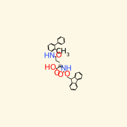 Cc1c(NC(=O)CC[C@H](NC(=O)OCC2c3ccccc3-c3ccccc32)C(=O)O)cccc1-c1ccccc1